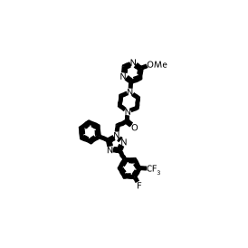 COc1cc(N2CCN(C(=O)Cn3nc(-c4ccc(F)c(C(F)(F)F)c4)nc3-c3ccccc3)CC2)ncn1